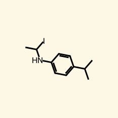 CC(I)Nc1ccc(C(C)C)cc1